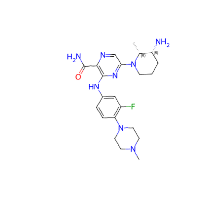 C[C@@H]1[C@H](N)CCCN1c1cnc(C(N)=O)c(Nc2ccc(N3CCN(C)CC3)c(F)c2)n1